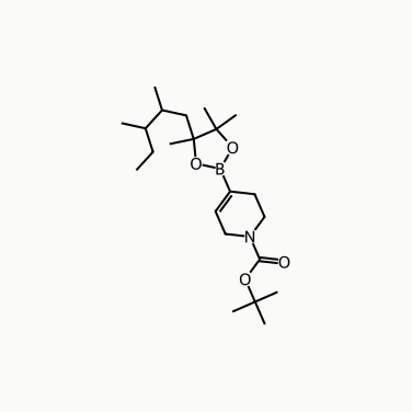 CCC(C)C(C)CC1(C)OB(C2=CCN(C(=O)OC(C)(C)C)CC2)OC1(C)C